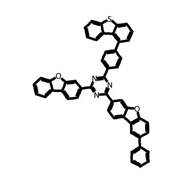 c1ccc(-c2ccc3oc4cc(-c5nc(-c6ccc(-c7cccc8sc9ccccc9c78)cc6)nc(-c6ccc7c(c6)oc6ccccc67)n5)ccc4c3c2)cc1